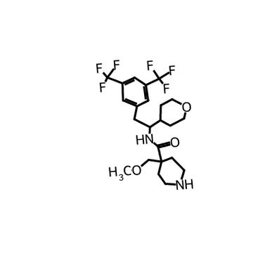 COCC1(C(=O)NC(Cc2cc(C(F)(F)F)cc(C(F)(F)F)c2)C2CCOCC2)CCNCC1